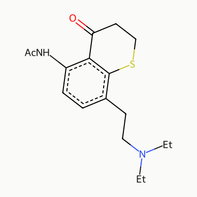 CCN(CC)CCc1ccc(NC(C)=O)c2c1SCCC2=O